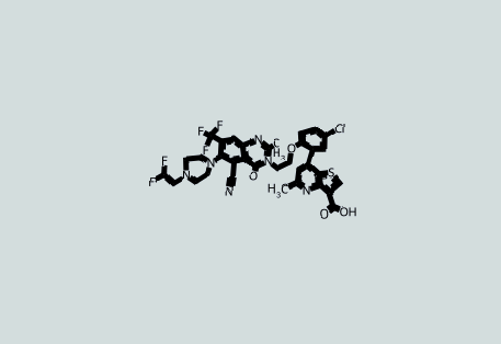 Cc1cc(-c2cc(Cl)ccc2OCCn2c(C)nc3cc(C(F)(F)F)c(N4CCN(CC(F)F)CC4)c(C#N)c3c2=O)c2scc(C(=O)O)c2n1